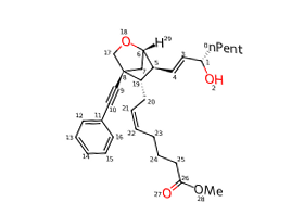 CCCCC[C@H](O)/C=C/[C@@H]1[C@@H]2C[C@@](C#Cc3ccccc3)(CO2)[C@H]1C/C=C\CCCC(=O)OC